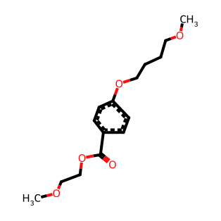 COCCCCOc1ccc(C(=O)OCCOC)cc1